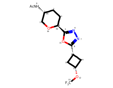 CC(=O)N[C@@H]1CC[C@@H](c2nnc([C@H]3C[C@@H](OC(F)(F)F)C3)o2)OC1